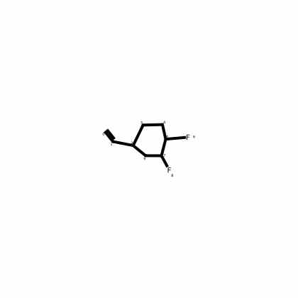 C=CC1CCC(F)C(F)C1